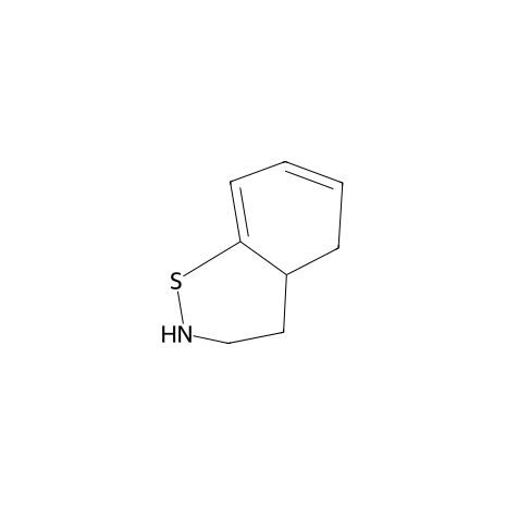 C1=CCC2CCNSC2=C1